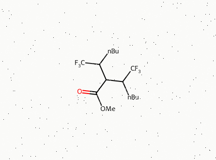 CCCCC(C(C(=O)OC)C(CCCC)C(F)(F)F)C(F)(F)F